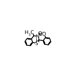 CC1c2ccccc2SC(c2ccccc2O)[NH+]1[O-]